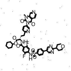 Cn1c(=O)n(-c2ccc(CC[C@H](NC(=O)c3cc(F)c(NS(=O)(=O)c4ccc(-c5cnc(C6CCOCC6)nc5)cc4)cc3F)C(=O)OC3CCCCC3)nc2)c(=O)c2ccncc21